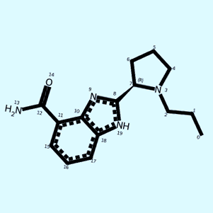 CCCN1CCC[C@@H]1c1nc2c(C(N)=O)cccc2[nH]1